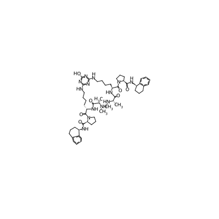 CN[C@@H](C)C(=O)N[C@@H](CCCCNc1nc(O)nc(NCCCC[C@H](NC(=O)[C@H](C)NC)C(=O)N2CCC[C@H]2C(=O)N[C@@H]2CCCc3ccccc32)n1)C(=O)N1CCC[C@H]1C(=O)N[C@@H]1CCCc2ccccc21